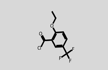 CCOc1ccc(C(F)(F)F)cc1C(=O)Cl